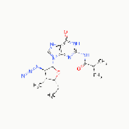 CC[C@H]1O[C@@H](n2cnc3c(=O)[nH]c(NC(=O)C(C)C)nc32)[C@H](N=[N+]=[N-])[C@H]1C